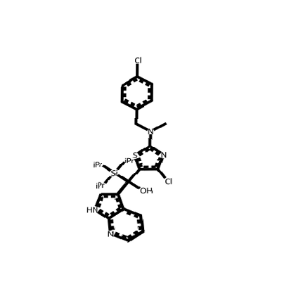 CC(C)[Si](C(C)C)(C(C)C)C(O)(c1sc(N(C)Cc2ccc(Cl)cc2)nc1Cl)c1c[nH]c2ncccc12